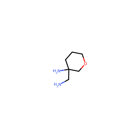 NCC1(N)CCCOC1